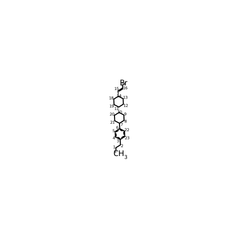 CCCc1ccc(C2CCC([C@H]3CC[C@H](/C=C/Br)CC3)CC2)cc1